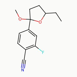 CCC1CCC(OC)(c2ccc(C#N)c(F)c2)O1